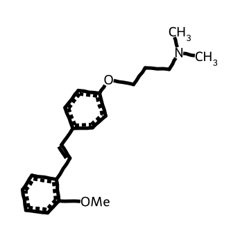 COc1ccccc1C=Cc1ccc(OCCCN(C)C)cc1